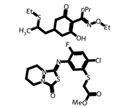 CCC/C(=N\OCC)C1=C(O)CC(CC(C)SCC)CC1=O.COC(=O)CSc1cc(/N=c2\sc(=O)n3n2CCCC3)c(F)cc1Cl